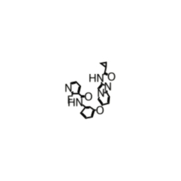 O=C(Nc1cccc(Oc2ccc3nc(NC(=O)C4CC4)cn3c2)c1)c1cccnc1F